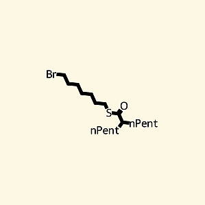 CCCCCC(CCCCC)C(=O)SCCCCCCCBr